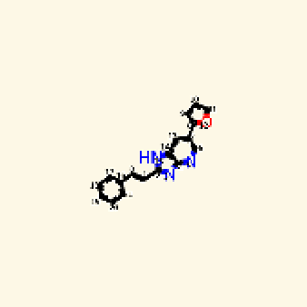 C(=Cc1nc2ncc(-c3ccco3)cc2[nH]1)c1ccccc1